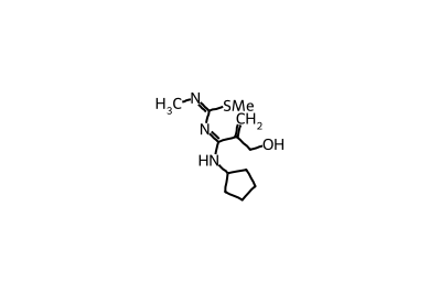 C=C(CO)/C(=N\C(=N/C)SC)NC1CCCC1